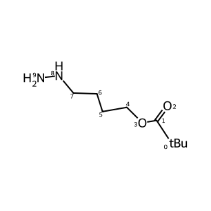 CC(C)(C)C(=O)OCCCCNN